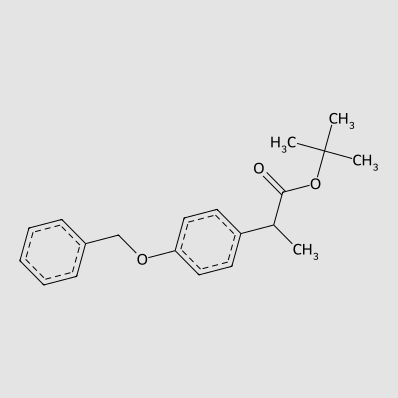 CC(C(=O)OC(C)(C)C)c1ccc(OCc2ccccc2)cc1